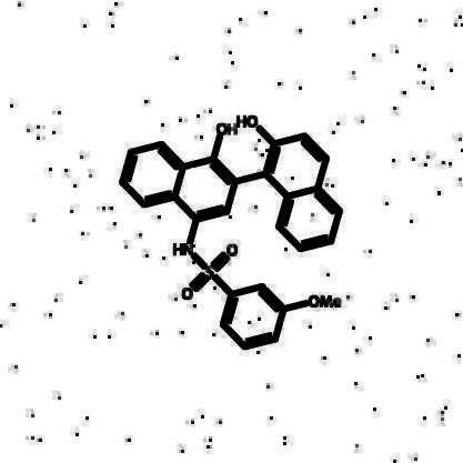 COc1cccc(S(=O)(=O)Nc2cc(-c3c(O)ccc4ccccc34)c(O)c3ccccc23)c1